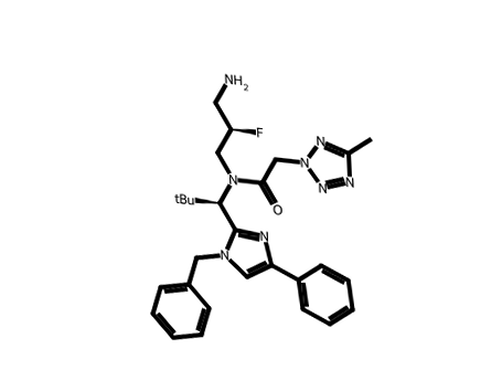 Cc1nnn(CC(=O)N(C[C@H](F)CN)[C@@H](c2nc(-c3ccccc3)cn2Cc2ccccc2)C(C)(C)C)n1